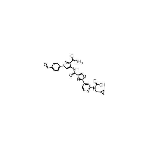 NC(=O)c1nn(-c2ccc(C=O)cc2)cc1NC(=O)c1coc(-c2ccnc(N(CC3CC3)C(=O)O)c2)n1